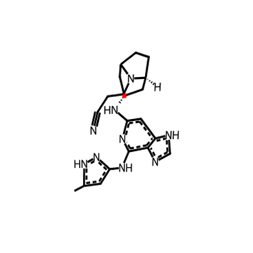 Cc1cc(Nc2nc(N[C@@H]3CC4CC[C@@H](C3)N4CCC#N)cc3[nH]cnc23)n[nH]1